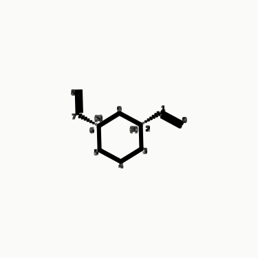 C=C[C@@H]1CCC[C@H](C=C)C1